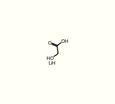 O=C(O)CO.[LiH]